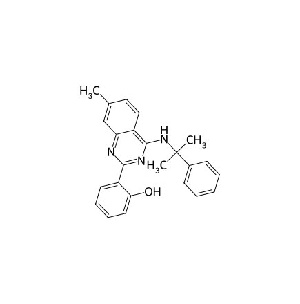 Cc1ccc2c(NC(C)(C)c3ccccc3)nc(-c3ccccc3O)nc2c1